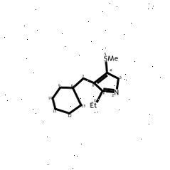 CCC1=NCC(SC)=C1CC1CCCCC1